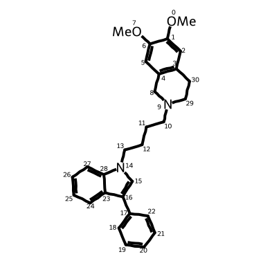 COc1cc2c(cc1OC)CN(CCCCn1cc(-c3ccccc3)c3ccccc31)CC2